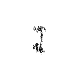 C[C@H](Cn1cnc2c(N)ncnc21)OCP(=O)(O)OCCCSCCCCCCCCCCCC#C[Si](C)(C)C(C)(C)C